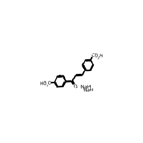 O=C(O)c1ccc(C=CC(=O)c2ccc(C(=O)O)cc2)cc1.[NaH].[NaH]